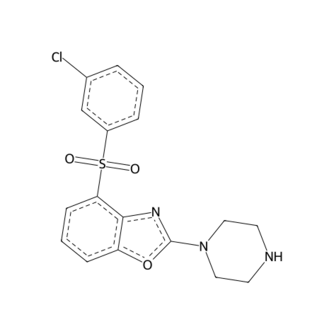 O=S(=O)(c1cccc(Cl)c1)c1cccc2oc(N3CCNCC3)nc12